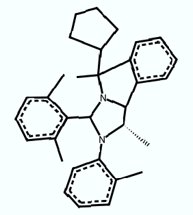 Cc1ccccc1N1C(c2c(C)cccc2C)N2C(c3ccccc3C2(C)C2CCCC2)[C@@H]1C